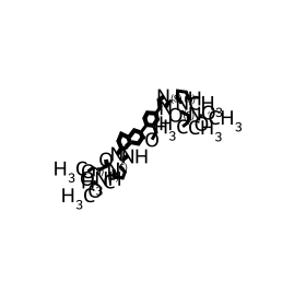 COC[C@H](NC(=O)OC)C(=O)N1[C@@H](C)CC[C@H]1c1nc2ccc3cc4c(cc3c2[nH]1)OCc1cc(-c2cnc([C@@H]3CC[C@H](C)N3C(=O)[C@@H](NC(=O)OC)C(C)C)[nH]2)ccc1-4